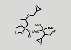 CCCOC(C1CO1)[Si](OC)(OC)OC.CCO[Si](CC(C)OCC1CO1)(OCC)OCC